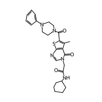 Cc1c(C(=O)N2CCN(c3ccccc3)CC2)sc2ncn(CC(=O)NC3CCCCC3)c(=O)c12